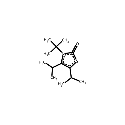 CC(C)c1sc(=O)n(C(C)(C)C)c1C(C)C